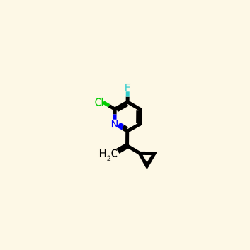 C=C(c1ccc(F)c(Cl)n1)C1CC1